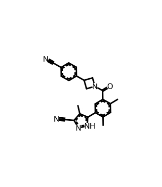 Cc1cc(C)c(-c2[nH]nc(C#N)c2C)cc1C(=O)N1CC(c2ccc(C#N)cc2)C1